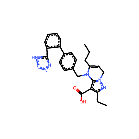 CCCC1=CCn2nc(CC)c(C(=O)O)c2N1Cc1ccc(-c2ccccc2-c2nnn[nH]2)cc1